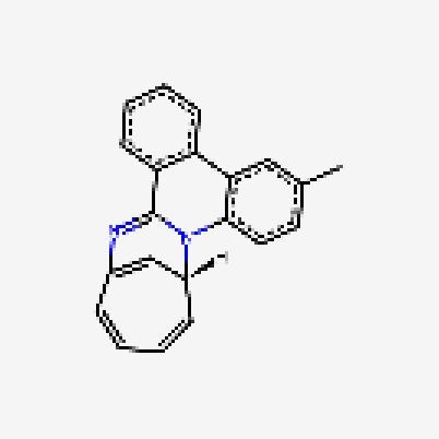 Cc1ccc2c(c1)-c1ccccc1C1=NC3=C[C@@H](C=CC=C3)N12